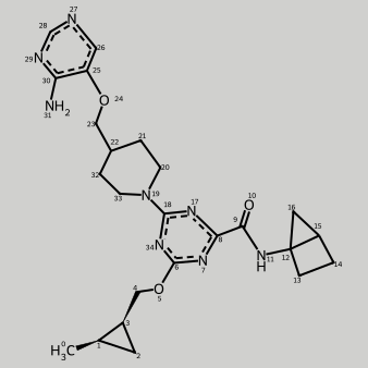 C[C@@H]1C[C@@H]1COc1nc(C(=O)NC23CCC2C3)nc(N2CCC(COc3cncnc3N)CC2)n1